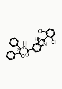 O=C(N[C@@H](C(=O)c1ccccc1)c1ccccc1)c1ccc2nc(-c3c(Cl)cccc3Cl)[nH]c2c1